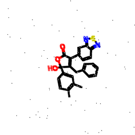 Cc1ccc(C2(O)OC(=O)C(c3ccc4nsnc4c3)=C2Cc2ccccc2)cc1C